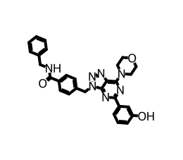 O=C(NCc1ccccc1)c1ccc(Cn2nnc3c(N4CCOCC4)nc(-c4cccc(O)c4)nc32)cc1